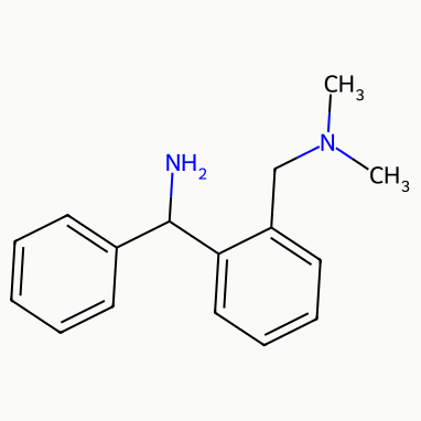 CN(C)Cc1ccccc1C(N)c1ccccc1